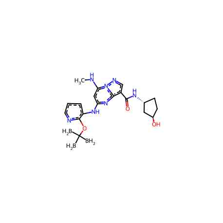 BC(B)(B)Oc1ncccc1Nc1cc(NC)n2ncc(C(=O)N[C@@H]3CC[C@@H](O)C3)c2n1